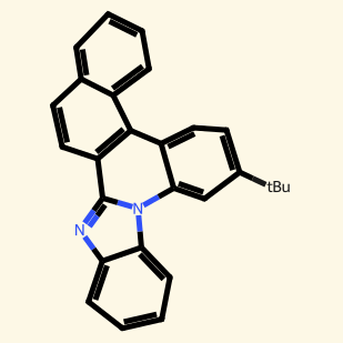 CC(C)(C)c1ccc2c3c4ccccc4ccc3c3nc4ccccc4n3c2c1